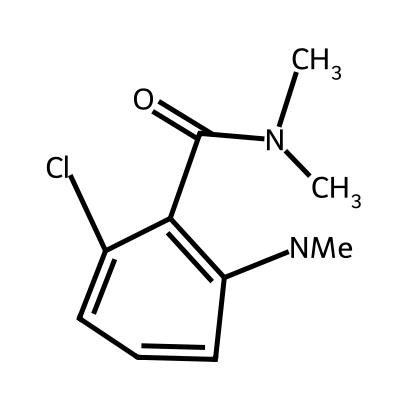 CNc1cccc(Cl)c1C(=O)N(C)C